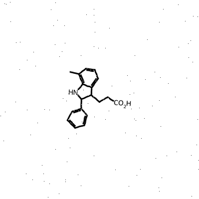 Cc1cccc2c1NC(c1ccccc1)C2CCC(=O)O